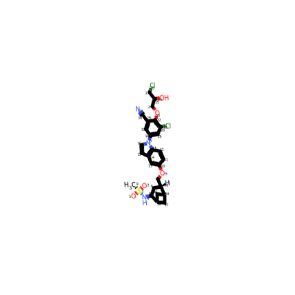 CS(=O)(=O)NC1C[C@H](COc2ccc3c(ccn3-c3cc(Cl)c(OCC(O)CCl)c(C#N)c3)c2)C2CC1C2